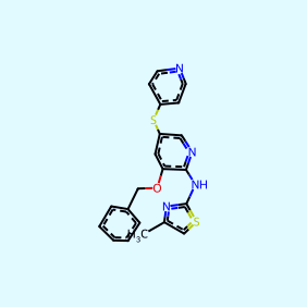 Cc1csc(Nc2ncc(Sc3ccncc3)cc2OCc2ccccc2)n1